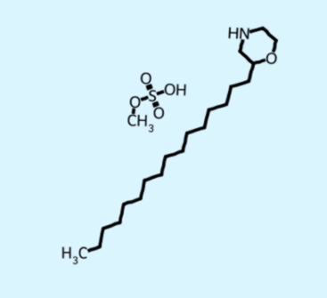 CCCCCCCCCCCCCCCCC1CNCCO1.COS(=O)(=O)O